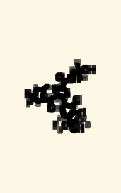 CC1CC(F)(F)CN1C(=O)c1nc(C(=O)NCC(C)(C)O)sc1-c1ccc(C(O)(C(F)(F)F)C(F)(F)F)c(Cl)c1Cl